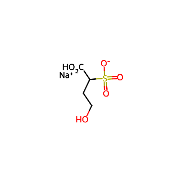 O=C(O)C(CCO)S(=O)(=O)[O-].[Na+]